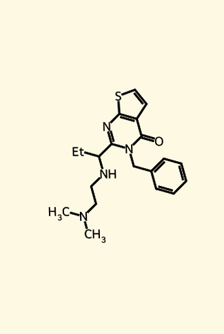 CCC(NCCN(C)C)c1nc2sccc2c(=O)n1Cc1ccccc1